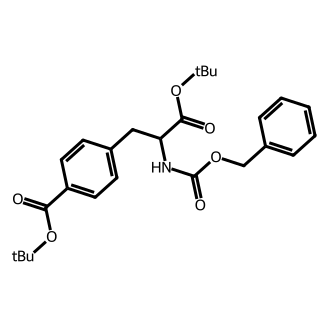 CC(C)(C)OC(=O)c1ccc(CC(NC(=O)OCc2ccccc2)C(=O)OC(C)(C)C)cc1